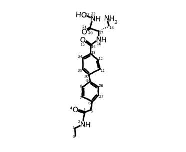 CCNC(=O)Cc1ccc(-c2ccc(C(=O)N[C@@H](CN)C(=O)NO)cc2)cc1